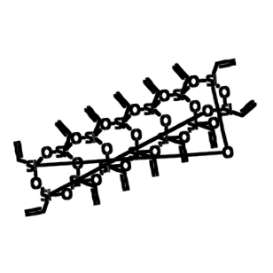 C=C[Si]12O[Si]3(C=C)O[Si]4(C=C)O[Si](C=C)(O1)O[Si]1(C=C)O[Si](C=C)(O4)O[Si]4(C=C)O[Si](C=C)(O1)O[Si]1(C=C)O[Si](C=C)(O[Si]5(C=C)O[Si](C=C)(O[Si](C=C)(O[Si](C=C)(O3)O5)O2)O1)O4